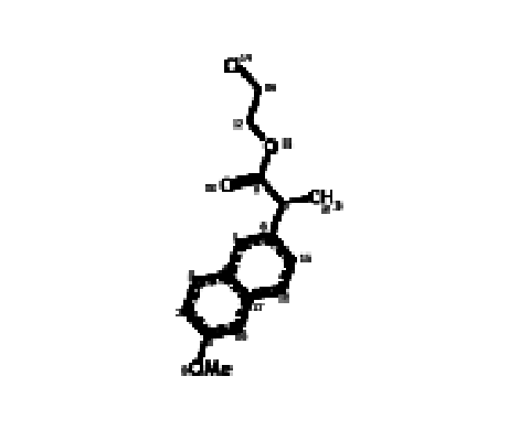 COc1ccc2cc([C@H](C)C(=O)OCCCl)ccc2c1